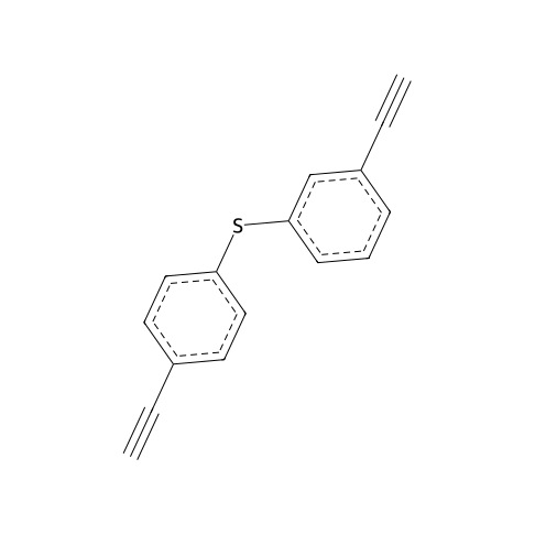 C#Cc1ccc(Sc2cccc(C#C)c2)cc1